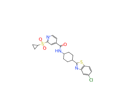 O=C(NC1CCC(c2nc3cc(Cl)ccc3s2)CC1)c1ccnc(S(=O)(=O)C2CC2)c1